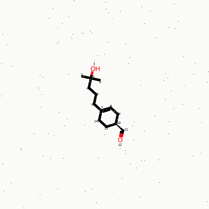 CC(C)(O)CCCC1=CC[C@@H](C=O)CC1